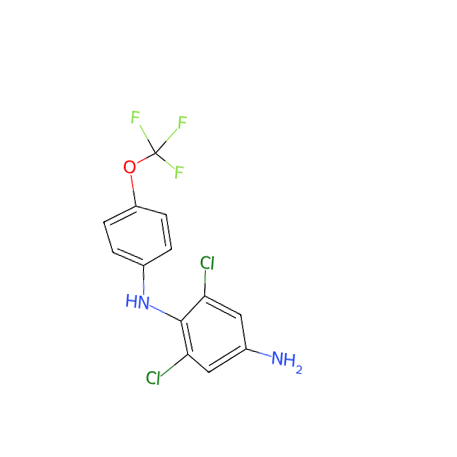 Nc1cc(Cl)c(Nc2ccc(OC(F)(F)F)cc2)c(Cl)c1